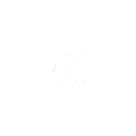 C=C(C)C(=O)OCC(O)C(=O)C(=C)C